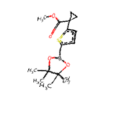 COC(=O)C1(c2ccc(B3OC(C)(C)C(C)(C)O3)s2)CC1